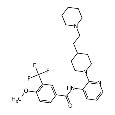 COc1ccc(C(=O)Nc2cccnc2N2CCC(CCN3CCCCC3)CC2)cc1C(F)(F)F